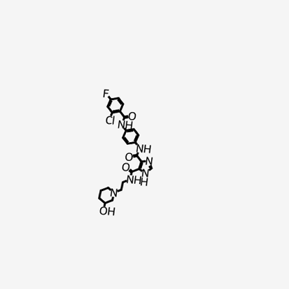 O=C(Nc1ccc(NC(=O)c2nc[nH]c2C(=O)NCCN2CCCC(O)C2)cc1)c1ccc(F)cc1Cl